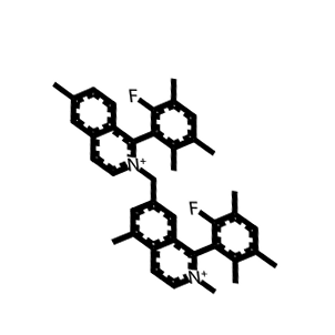 Cc1ccc2c(-c3c(C)c(C)cc(C)c3F)[n+](Cc3cc(C)c4cc[n+](C)c(-c5c(C)c(C)cc(C)c5F)c4c3)ccc2c1